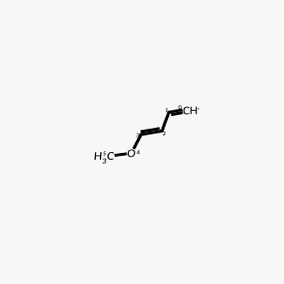 [CH]=C/C=[C]/OC